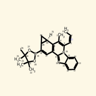 C/C=C\c1c(C)c2c(c3nc4ccccc4n13)C=C(B1OC(C)(C)C(C)(I)O1)C1C[C@@H]21